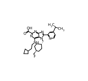 CC(C)c1ccnc(-c2nc3nc(C(=O)O)nc(NCCC4CCC4)c3n2C[C@H]2CC[C@H](CF)CC2)c1